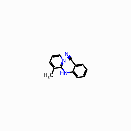 Cc1cccnc1Nc1ccccc1C#N